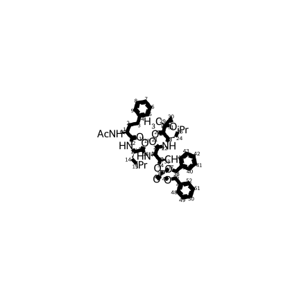 CC(=O)N[C@@H](CCc1ccccc1)C(=O)N[C@@H](CC(C)C)C(=O)N[C@H](C(=O)N[C@@H](CC(C)C)C(=O)[C@@]1(C)CO1)[C@@H](C)OP(=O)(OCc1ccccc1)OCc1ccccc1